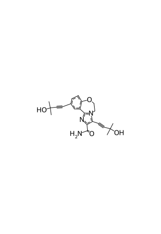 CC(C)(O)C#Cc1ccc2c(c1)-c1nc(C(N)=O)c(C#CC(C)(C)O)n1CCO2